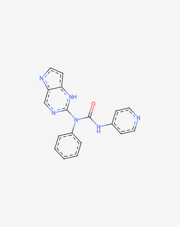 O=C(Nc1ccncc1)N(c1ccccc1)c1ncc2nccc-2[nH]1